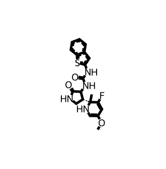 COC1=CNC(C)([C@@H]2CNC(=O)C2NC(=O)Nc2cc3ccccc3s2)C(F)=C1